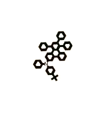 CC(C)(C)c1ccc(N(c2ccccc2)c2ccc3c(c2)c2ccccc2c2c(-c4ccccc4)c(-c4ccccc4)cc(-c4ccccc4)c32)cc1